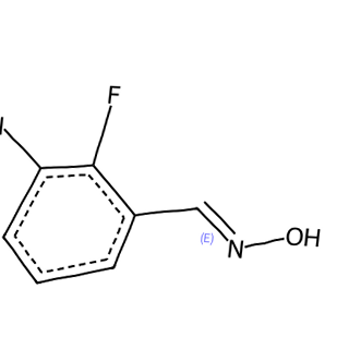 O/N=C/c1cccc(I)c1F